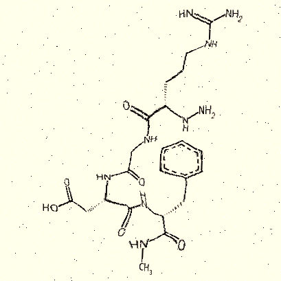 CNC(=O)[C@@H](Cc1ccccc1)NC(=O)[C@H](CC(=O)O)NC(=O)CNC(=O)[C@H](CCCNC(=N)N)NN